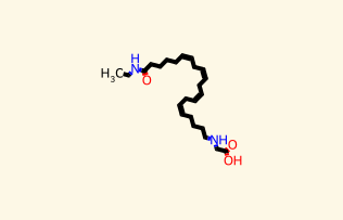 CCNC(=O)CCCC/C=C\C/C=C\C/C=C\C/C=C\CCCCNCC(=O)O